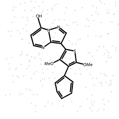 COc1sc(-c2cnn3c(O)ccnc23)c(OC)c1-c1ccccc1